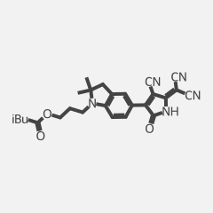 CCC(C)C(=O)OCCCN1c2ccc(C3=C(C#N)C(=C(C#N)C#N)NC3=O)cc2CC1(C)C